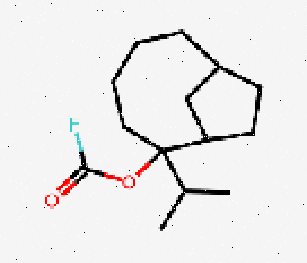 CC(C)C1(OC(=O)F)CCCCC2CCC1C2